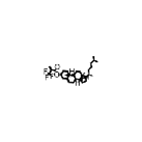 C=C(C(=O)O[C@H]1CC[C@@]2(C)C(=CC[C@H]3[C@@H]4CC[C@H]([C@H](C)CCCC(C)C)[C@@]4(C)CC[C@@H]32)C1)C(F)(F)F